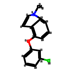 Cn1ccc2c(Oc3cccc(Cl)c3)cccc21